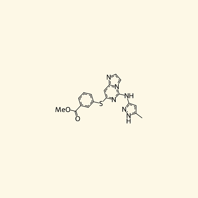 COC(=O)c1cccc(Sc2cc3nccn3c(Nc3cc(C)[nH]n3)n2)c1